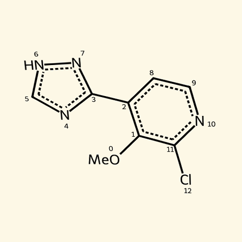 COc1c(-c2nc[nH]n2)ccnc1Cl